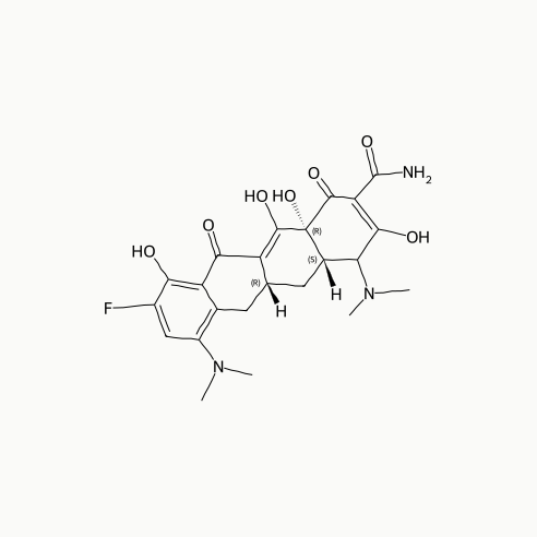 CN(C)c1cc(F)c(O)c2c1C[C@H]1C[C@H]3C(N(C)C)C(O)=C(C(N)=O)C(=O)[C@]3(O)C(O)=C1C2=O